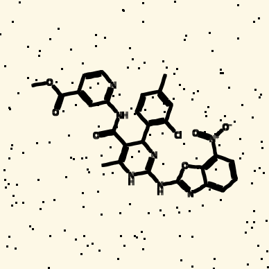 COC(=O)c1ccnc(NC(=O)C2=C(C)NC(Nc3nc4cccc([N+](=O)[O-])c4o3)=NC2c2ccc(C)cc2Cl)c1